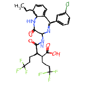 CCc1cccc2c1NC(=O)C(NC(=O)C(CCC(F)(F)F)C(CCC(F)(F)F)C(=O)O)N=C2c1cccc(Cl)c1